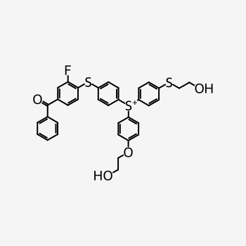 O=C(c1ccccc1)c1ccc(Sc2ccc([S+](c3ccc(OCCO)cc3)c3ccc(SCCO)cc3)cc2)c(F)c1